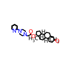 C[C@]12CCC(=O)C=C1CC[C@@H]1[C@H]2CC[C@]2(C)C(OC(=O)CN3CCN(c4ccccn4)CC3)CC[C@@H]12